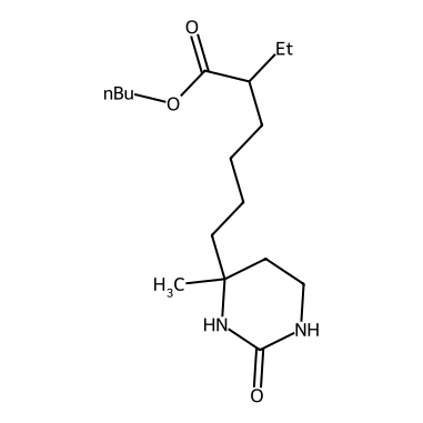 CCCCOC(=O)C(CC)CCCCC1(C)CCNC(=O)N1